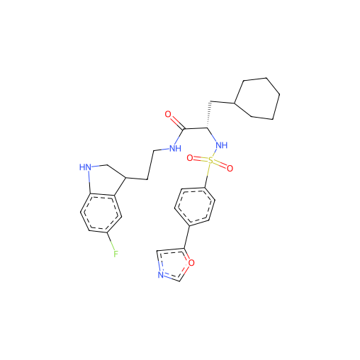 O=C(NCCC1CNc2ccc(F)cc21)[C@H](CC1CCCCC1)NS(=O)(=O)c1ccc(-c2cnco2)cc1